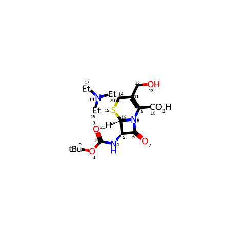 CC(C)(C)OC(=O)N[C@@H]1C(=O)N2C(C(=O)O)=C(CO)CS[C@H]12.CCN(CC)CC